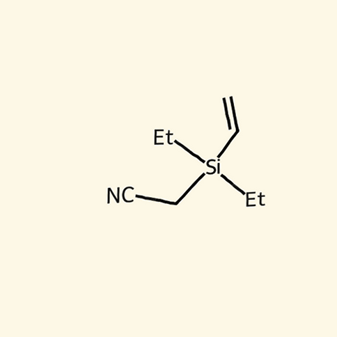 C=C[Si](CC)(CC)CC#N